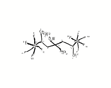 O=C(O)N(CC(CN(C(=O)O)S(F)(F)(F)(F)F)([N+](=O)[O-])[N+](=O)[O-])S(F)(F)(F)(F)F